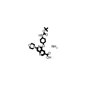 CC(C)(C)OC(=O)NC1CCC(Oc2nc(N3CCOCC3)cc3ncc(C(=O)O)cc23)CC1.N